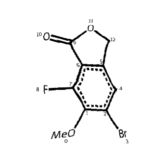 COc1c(Br)cc2c(c1F)C(=O)OC2